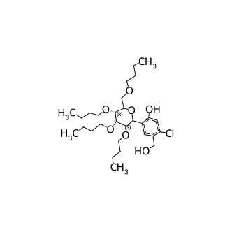 CCCCOCC1OC(c2cc(CO)c(Cl)cc2O)[C@H](OCCCC)C(OCCCC)[C@@H]1OCCCC